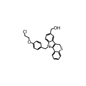 OCc1ccc2c(c1)c1c(n2Cc2ccc(OCCCl)cc2)-c2ccccc2SC1